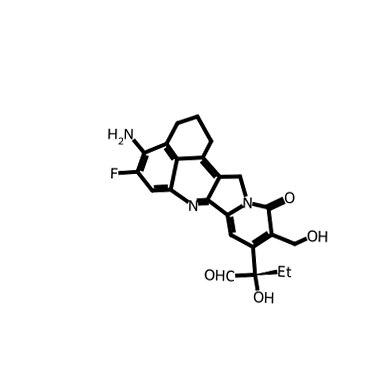 CC[C@@](O)(C=O)c1cc2n(c(=O)c1CO)Cc1c-2nc2cc(F)c(N)c3c2c1CCC3